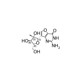 C[C@]1(O)[C@H](O)[C@@H](CO)O[C@H]1c1coc2c(=O)[nH]c(N)nc12